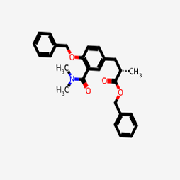 C[C@@H](Cc1ccc(OCc2ccccc2)c(C(=O)N(C)C)c1)C(=O)OCc1ccccc1